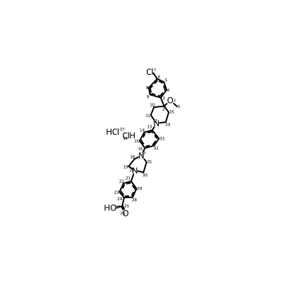 COC1(c2ccc(Cl)cc2)CCN(c2ccc(N3CCN(c4ccc(C(=O)O)cc4)CC3)cc2)CC1.Cl.Cl